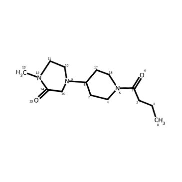 CCCC(=O)N1CCC(N2CCN(C)C(=O)C2)CC1